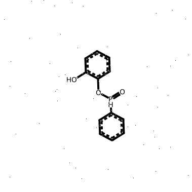 O=[PH](Oc1ccccc1O)c1ccccc1